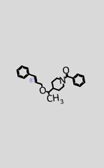 CC(OC/C=C/c1ccccc1)C1CCN(C(=O)c2ccccc2)CC1